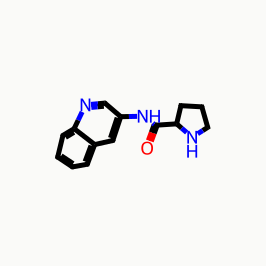 O=C(Nc1cnc2ccccc2c1)C1CCCN1